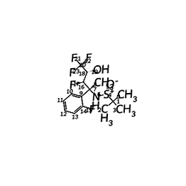 CC(C)(C)[S+]([O-])N[C@](C)(c1ccccc1F)[C@@H](F)[C@@H](O)C(F)(F)F